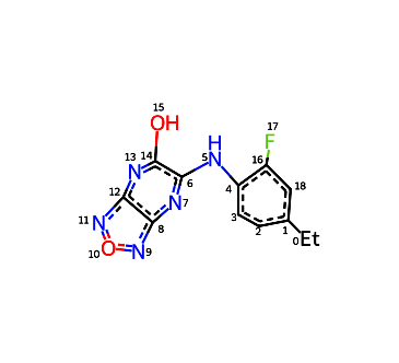 CCc1ccc(Nc2nc3nonc3nc2O)c(F)c1